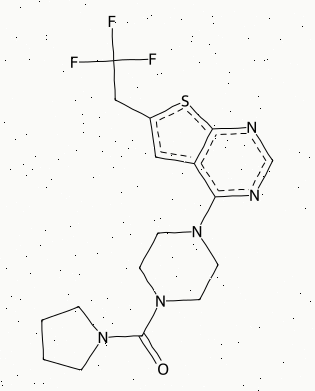 O=C(N1CCCC1)N1CCN(c2ncnc3sc(CC(F)(F)F)cc23)CC1